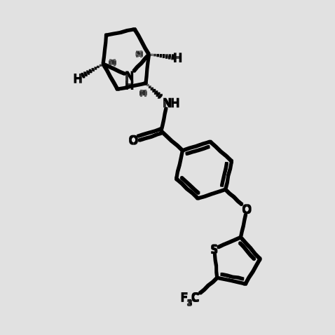 O=C(N[C@@H]1C[C@H]2CC[C@@H]1N2)c1ccc(Oc2ccc(C(F)(F)F)s2)cc1